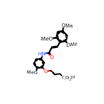 COc1cc(OC)c(C=CC(=O)Nc2ccc(OC)c(OCCCC(=O)O)c2)c(OC)c1